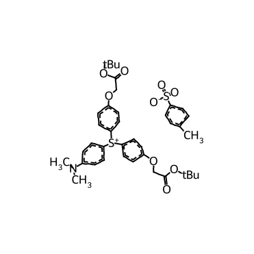 CN(C)c1ccc([S+](c2ccc(OCC(=O)OC(C)(C)C)cc2)c2ccc(OCC(=O)OC(C)(C)C)cc2)cc1.Cc1ccc(S(=O)(=O)[O-])cc1